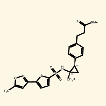 CNC(=O)CCc1ccc([C@H]2C[C@@]2(NS(=O)(=O)c2ccc(-c3cc(C(F)(F)F)on3)s2)C(=O)O)cc1